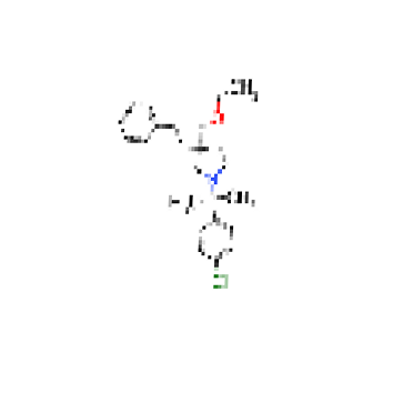 CCOC[C@]1(CCc2ccccc2)CCN(C(C)(C)c2ccc(Cl)cc2)C1